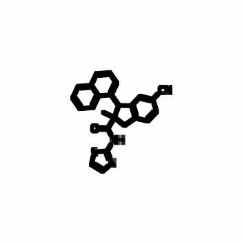 CC1(C(=O)Nc2nccs2)Cc2ccc(C#N)cc2C1c1cccc2ccccc12